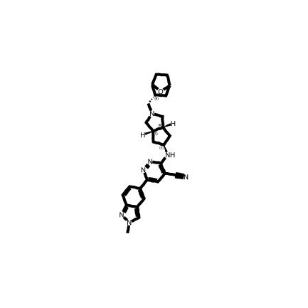 Cn1cc2cc(-c3cc(C#N)c(N[C@H]4C[C@@H]5CN(C[C@H]6CC7CCC6O7)C[C@@H]5C4)nn3)ccc2n1